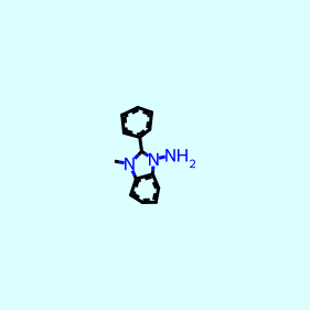 CN1c2ccccc2N(N)C1c1ccccc1